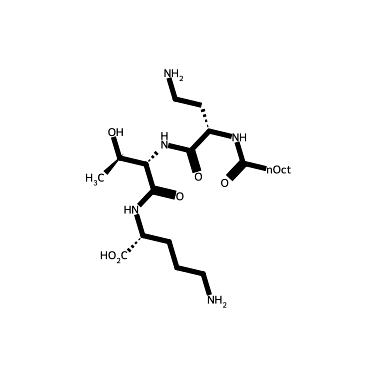 CCCCCCCCC(=O)N[C@@H](CCN)C(=O)N[C@H](C(=O)N[C@H](CCCN)C(=O)O)[C@@H](C)O